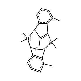 CC1=C2c3c(C)cccc3[CH]1[Hf]([CH3])([CH3])[CH]1C(C)=C(c3c(C)cccc31)[Si]2(C)C